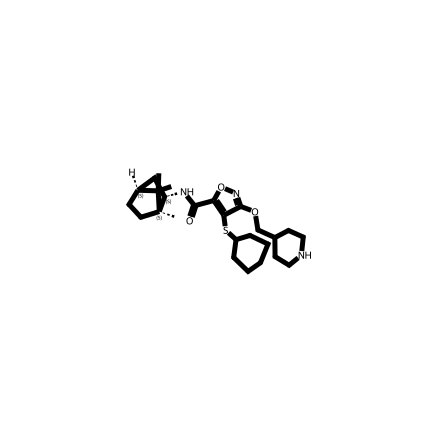 CC1(C)[C@H]2CC[C@]1(C)[C@@H](NC(=O)c1onc(OCC3CCNCC3)c1SC1CCCCC1)C2